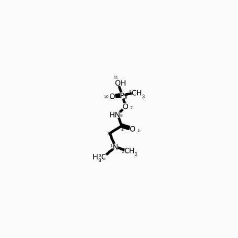 CN(C)CC(=O)NOP(C)(=O)O